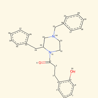 O=C(CCc1ccccc1O)N1CCN(Cc2ccccc2)CC1Cc1ccccc1